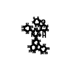 C1=Cc2oc3ccccc3c2C(c2nc(-c3ccccc3)nc(-c3cc4c5c(cccc5c3)-c3ccccc3-4)n2)N1